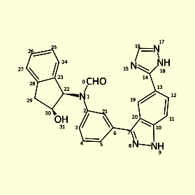 O=CN(c1cccc(-c2n[nH]c3ccc(-c4ncn[nH]4)cc23)c1)[C@@H]1c2ccccc2C[C@@H]1O